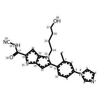 Cc1cc(-n2ccnc2)ccc1-c1cc2sc(C(=O)NC#N)cc2n1CCCCO